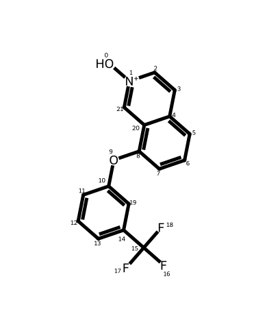 O[n+]1ccc2cccc(Oc3cccc(C(F)(F)F)c3)c2c1